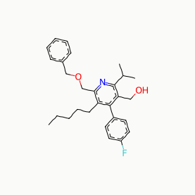 CCCCCc1c(COCc2ccccc2)nc(C(C)C)c(CO)c1-c1ccc(F)cc1